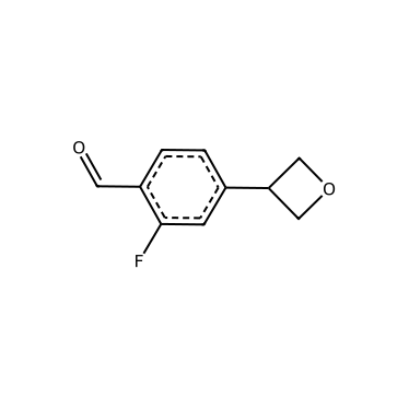 O=Cc1ccc(C2COC2)cc1F